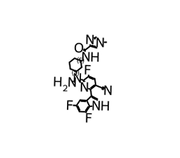 Cn1cnc(C(=O)N[C@H]2CCC[C@H](N(N)c3nc(-c4c[nH]c5c(F)cc(F)cc45)c(C#N)cc3F)C2)c1